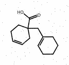 O=C(O)C1(CC2=CCCCC2)CC=CCC1